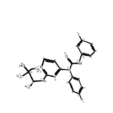 C[C@H](Nc1nccc(N(C(=O)Nc2cccc(F)c2)c2ccc(F)cc2)n1)C(C)(C)O